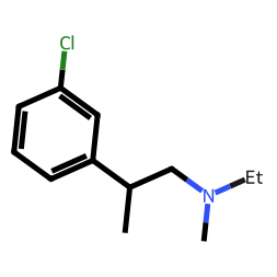 CCN(C)CC(C)c1cccc(Cl)c1